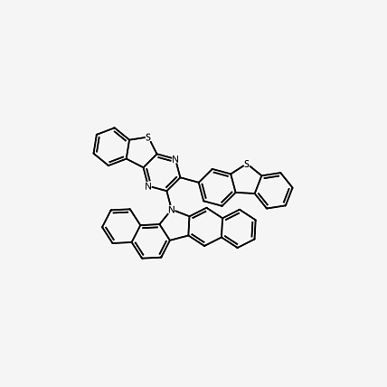 c1ccc2cc3c(cc2c1)c1ccc2ccccc2c1n3-c1nc2c(nc1-c1ccc3c(c1)sc1ccccc13)sc1ccccc12